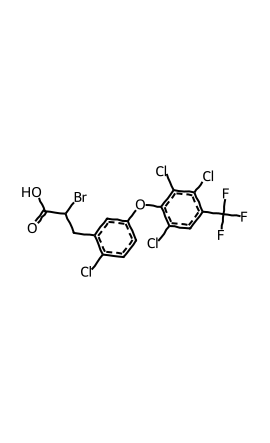 O=C(O)C(Br)Cc1cc(Oc2c(Cl)cc(C(F)(F)F)c(Cl)c2Cl)ccc1Cl